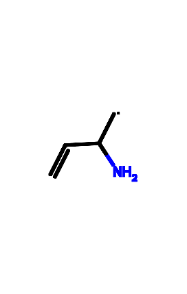 [CH2]C(N)C=C